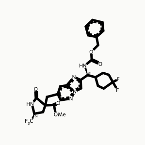 COC(=O)C1(Cc2cnn3cc([C@@H](NC(=O)OCc4ccccc4)C4CCC(F)(F)CC4)nc3c2)C[C@@H](C(F)(F)F)NC1=O